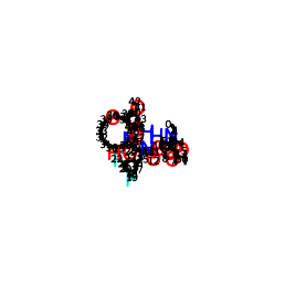 CCN[C@H]1CO[C@@H]2OC[C@H](OC(=O)N[C@@H](Cc3cc(F)cc(F)c3)[C@H](O)CN3CCCCCCCCOCc4cc(OC)ccc4S3(=O)=O)[C@@H]21